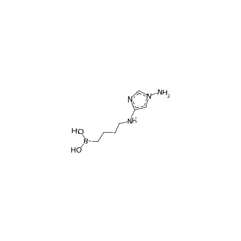 Nn1cnc(NCCCCB(O)O)c1